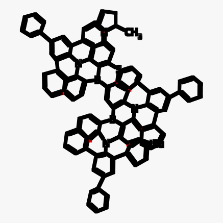 CC1CC=CN1c1cc2c3c(c1)N(c1c(-c4ccccc4)cc(-c4ccccc4)cc1-c1ccccc1)c1ccccc1B3c1cc3c(cc1S2)N(c1c(-c2ccccc2)cc(-c2ccccc2)cc1-c1ccccc1)c1cc(C(C)(C)C)cc2c1B3c1ccccc1N2c1c(-c2ccccc2)cc(-c2ccccc2)cc1-c1ccccc1